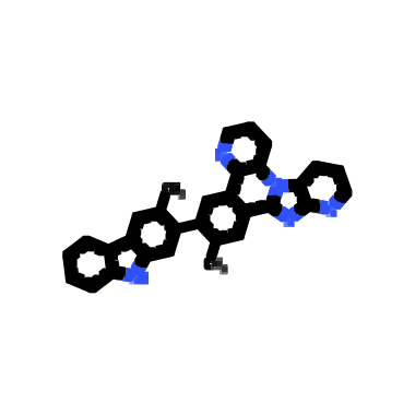 Cc1cc2c(cc1-c1cc3c(cc1C)c1nc4ncccc4n1c1cccnc31)[nH]c1ccccc12